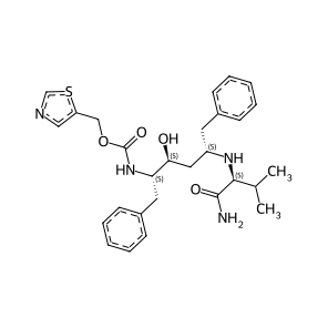 CC(C)[C@H](N[C@@H](Cc1ccccc1)C[C@H](O)[C@H](Cc1ccccc1)NC(=O)OCc1cncs1)C(N)=O